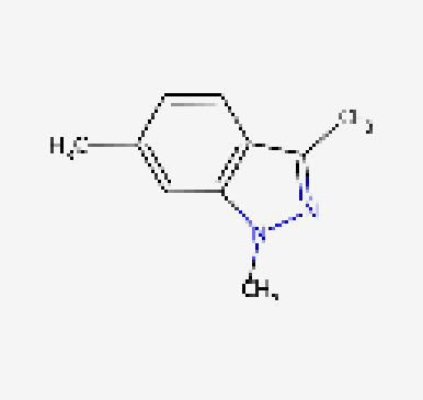 Cc1ccc2c(C(F)(F)F)nn(C)c2c1